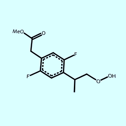 COC(=O)Cc1cc(F)c(C(C)COO)cc1F